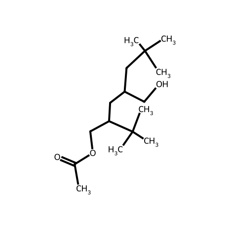 CC(=O)OCC(CC(CO)CC(C)(C)C)C(C)(C)C